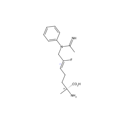 CC(=N)N(C/C(F)=C/CC[C@](C)(N)C(=O)O)c1ccccc1